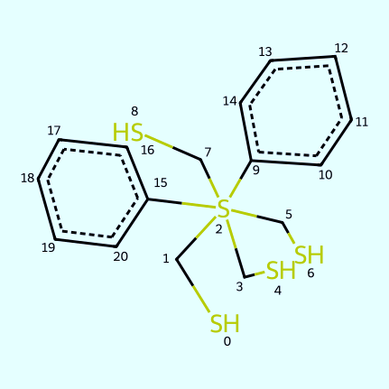 SCS(CS)(CS)(CS)(c1ccccc1)c1ccccc1